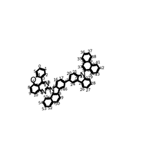 c1ccc2c(c1)Oc1cccc3nc(-n4c5ccc(-c6ccc7c(c6)c6ccccc6n7-c6cc7ccccc7c7ccccc67)cc5c5ccc6ccccc6c54)nc-2c13